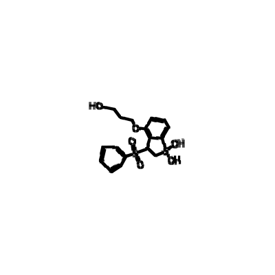 O=S(=O)(c1ccccc1)C1CS(O)(O)c2cccc(OCCCO)c21